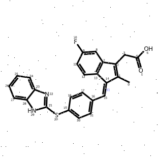 CC1=C(CC(=O)O)c2cc(F)ccc2/C1=C\c1ccc(Sc2nc3ccccc3[nH]2)cc1